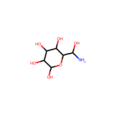 NC(O)C1OC(O)C(O)C(O)C1O